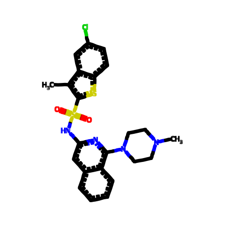 Cc1c(S(=O)(=O)Nc2cc3ccccc3c(N3CCN(C)CC3)n2)sc2ccc(Cl)cc12